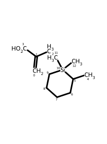 C=C(C)C(=O)O.CC1CCCC[Si]1(C)C